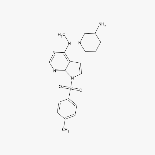 Cc1ccc(S(=O)(=O)n2ccc3c(N(C)N4CCCC(N)C4)ncnc32)cc1